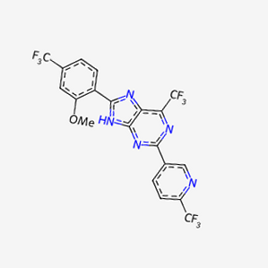 COc1cc(C(F)(F)F)ccc1-c1nc2c(C(F)(F)F)nc(-c3ccc(C(F)(F)F)nc3)nc2[nH]1